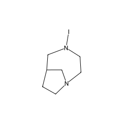 IN1CCN2CCC(C1)C2